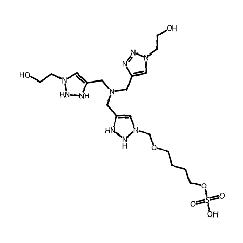 O=S(=O)(O)OCCCCOCN1C=C(CN(CC2=CN(CCO)NN2)Cc2cn(CCO)nn2)NN1